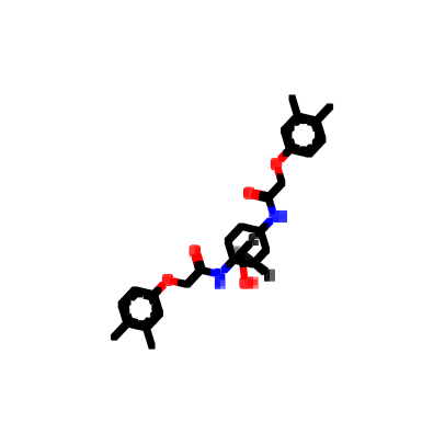 Cc1ccc(OCC(=O)NC23CCC(NC(=O)COc4ccc(C)c(C)c4)(CC2)[C@@H](O)C3)cc1C